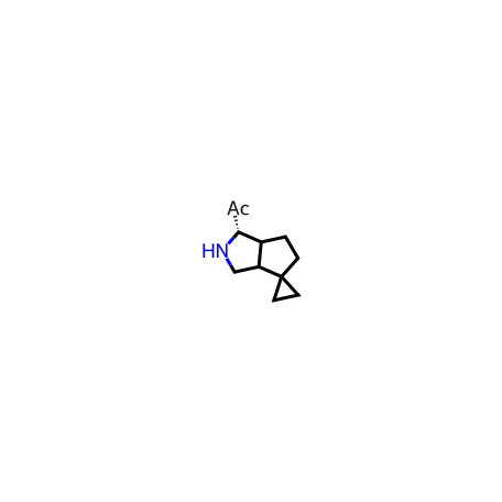 CC(=O)[C@H]1NCC2C1CCC21CC1